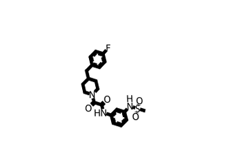 CS(=O)(=O)Nc1cccc(NC(=O)C(=O)N2CCC(Cc3ccc(F)cc3)CC2)c1